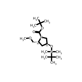 COC[C@H]1C[C@H](O[Si](C)(C)C(C)(C)C)CN1C(=O)OC(C)(C)C